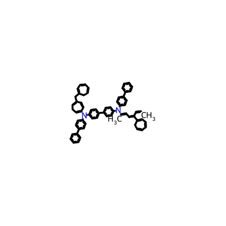 C\C=C/C(=C\C=C(/C)N(c1ccc(-c2ccccc2)cc1)c1ccc(-c2ccc(N(C3=CCC=C(CC4=CC=CC=CC4)C=C3)c3ccc(-c4ccccc4)cc3)cc2)cc1)C1=CC=CC=CC1